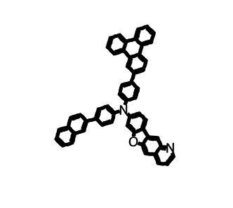 c1ccc2cc(-c3ccc(N(c4ccc(-c5ccc6c7ccccc7c7ccccc7c6c5)cc4)c4ccc5c(c4)oc4cc6cccnc6cc45)cc3)ccc2c1